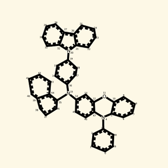 c1ccc(N2c3ccccc3Oc3cc(N(c4ccc(-n5c6ccccc6c6ccccc65)cc4)c4cccc5ccccc45)ccc32)cc1